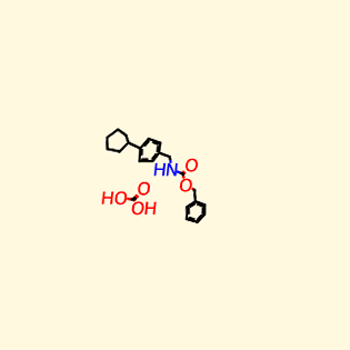 O=C(NCc1ccc(C2CCCCC2)cc1)OCc1ccccc1.O=C(O)O